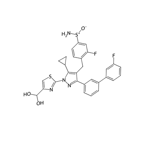 N[S+]([O-])c1ccc(Cc2c(-c3cccc(-c4cccc(F)c4)c3)nn(-c3nc(C(O)O)cs3)c2C2CC2)c(F)c1